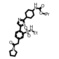 CCNS(=O)(=O)c1cc(CC(=O)N2CCCC2)ccc1-c1cnc(C2CCC(NC(=O)OC(C)C)CC2)s1